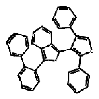 c1ccc(-c2ccccc2-c2sc(-c3c(-c4ccccc4)coc3-c3ccccc3)c3ccccc23)cc1